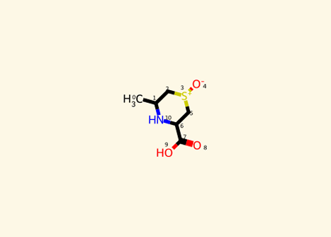 CC1C[S+]([O-])CC(C(=O)O)N1